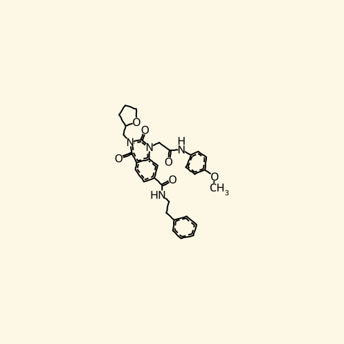 COc1ccc(NC(=O)Cn2c(=O)n(CC3CCCO3)c(=O)c3ccc(C(=O)NCCc4ccccc4)cc32)cc1